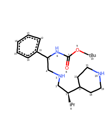 CC(C)[C@@H](CNCC(NC(=O)OC(C)(C)C)c1ccccc1)C1CCNCC1